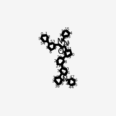 c1ccc(-c2cccc(-c3nc(-c4ccccc4)nc4c3oc3c(-c5cccc(-c6ccc7c(c6)c6ccccc6n7-c6ccccc6)c5)cccc34)c2)cc1